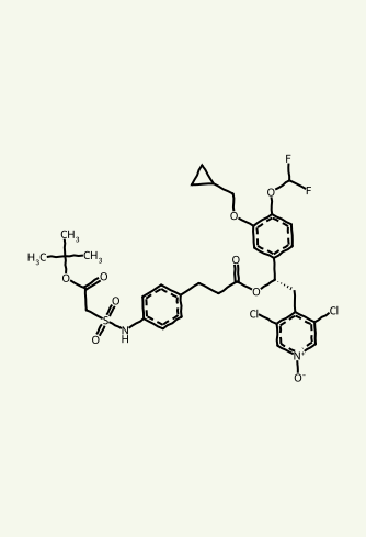 CC(C)(C)OC(=O)CS(=O)(=O)Nc1ccc(CCC(=O)O[C@@H](Cc2c(Cl)c[n+]([O-])cc2Cl)c2ccc(OC(F)F)c(OCC3CC3)c2)cc1